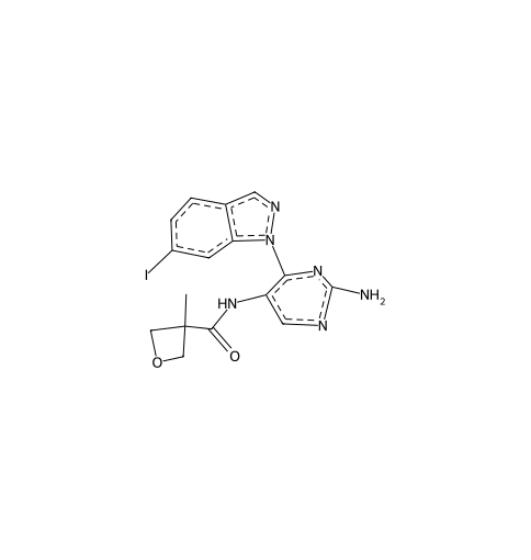 CC1(C(=O)Nc2cnc(N)nc2-n2ncc3ccc(I)cc32)COC1